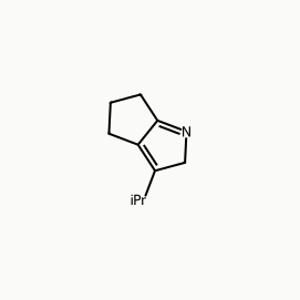 CC(C)C1=C2CCCC2=NC1